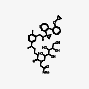 CNC(=O)CN(CC(O)C(O)C(O)C(O)CO)C(=O)CCCC(C)c1ccc(C)c(CNC2(c3cnccc3-c3ccccc3OC3CC3)CC2)c1